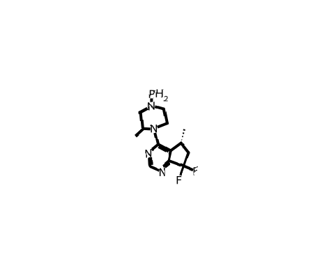 CC1CN(P)CCN1c1ncnc2c1[C@H](C)CC2(F)F